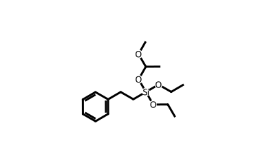 CCO[Si](CCc1ccccc1)(OCC)OC(C)OC